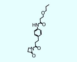 CCCOCCC(=O)Nc1ccc(CCC(=O)N2CCC2=O)cc1